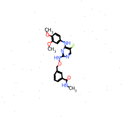 CNC(=O)c1cccc(CONc2ncc(F)c(Nc3ccc(OC)c(OC)c3)n2)c1